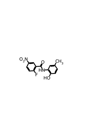 Cc1ccc(O)c(NC(=O)c2cc([N+](=O)[O-])ccc2F)c1